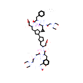 COc1ccc(CC(NC(=O)C(NC(=O)CN2CCOCC2)C2CC2)C(=O)NC(CC2CCC(C3CCC(CC(NC(=O)C(Cc4ccc5c(c4)CNC(=O)O5)NC(=O)C(C)NC(=O)CN4CCOCC4)C(=O)C4(C)CO4)C3)C2)C(=O)C2(C)CO2)cc1